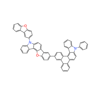 c1ccc(-n2c3ccccc3c3c4c(ccc32)c2ccccc2c2cc(-c3ccc5oc6c(ccc7c6c6ccccc6n7-c6ccc7oc8ccccc8c7c6)c5c3)ccc24)cc1